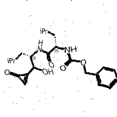 CC(C)C[C@H](NC(=O)OCc1ccccc1)C(=O)N[C@@H](CC(C)C)C(O)c1cc1=O